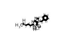 CNCCCc1nc2ncn(Cc3ccccc3)c2c(=O)[nH]1.Cl